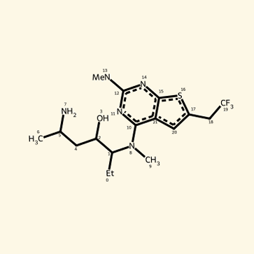 CCC(C(O)CC(C)N)N(C)c1nc(NC)nc2sc(CC(F)(F)F)cc12